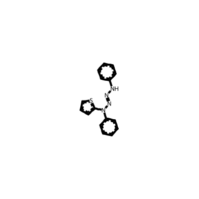 c1ccc(NN=NN(c2ccccc2)c2cccs2)cc1